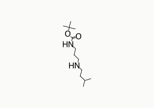 CC(C)CCNCCCNC(=O)OC(C)(C)C